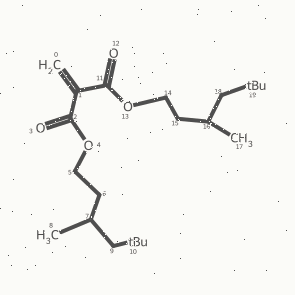 C=C(C(=O)OCCC(C)CC(C)(C)C)C(=O)OCCC(C)CC(C)(C)C